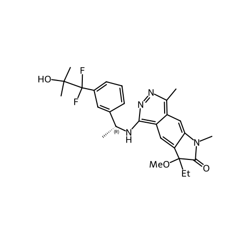 CCC1(OC)C(=O)N(C)c2cc3c(C)nnc(N[C@H](C)c4cccc(C(F)(F)C(C)(C)O)c4)c3cc21